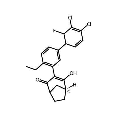 CCc1ccc(C2C=CC(Cl)=C(Cl)C2F)cc1C1=C(O)[C@H]2CCC(C2)C1=O